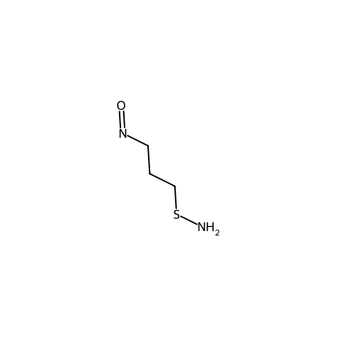 NSCCCN=O